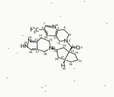 O=C(N1CCc2ncc(C(F)(F)F)cc2C1)[C@@]12CCC[C@@H]1C[C@@H](N1CCc3n[nH]cc3C1)C2